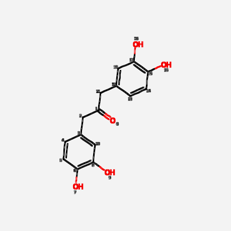 O=C(Cc1ccc(O)c(O)c1)Cc1ccc(O)c(O)c1